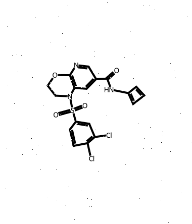 O=C(NC1=CC=C1)c1cnc2c(c1)N(S(=O)(=O)c1ccc(Cl)c(Cl)c1)CCO2